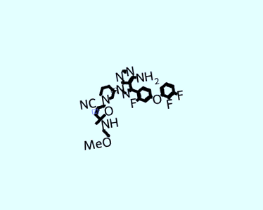 COCCNC(C)(C)/C=C(/C#N)C(=O)N1CCC[C@H](n2nc(-c3ccc(Oc4cccc(F)c4F)cc3F)c3c(N)ncnc32)C1